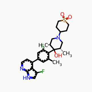 Cc1cc(-c2ccnc3[nH]cc(F)c23)cc(F)c1C1(O)[C@H](C)CN(C2CCS(=O)(=O)CC2)C[C@@H]1C